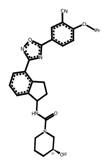 CC(C)Oc1ccc(-c2nc(-c3cccc4c3CCC4NC(=O)N3CCC[C@H](O)C3)no2)cc1C#N